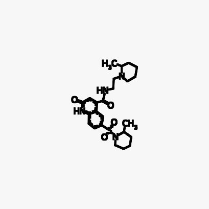 CC1CCCCN1CCNC(=O)c1cc(=O)[nH]c2ccc(S(=O)(=O)N3CCCCC3C)cc12